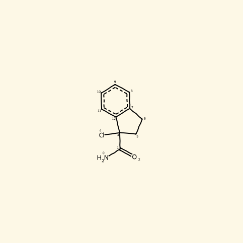 NC(=O)C1(Cl)CCc2ccccc21